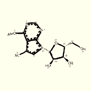 COc1ncnc2c1c(C#N)cn2[C@@H]1O[C@H](CO)[C@@H](O)[C@H]1O